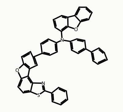 c1ccc(-c2ccc(N(c3ccc(-c4ccc5oc6ccc7sc(-c8ccccc8)nc7c6c5c4)cc3)c3cccc4c3oc3ccccc34)cc2)cc1